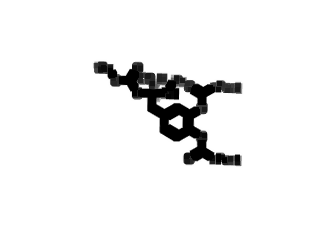 CCCCCC(=O)Oc1ccc(C[C@](NC(C)C)(OC(=O)OC(C)(C)C)C(=O)O)cc1OC(=O)CCCCC